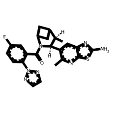 Cc1nc2sc(N)nc2cc1[C@@H]1[C@H](C)C2CC(C2)N1C(=O)c1cc(F)ccc1-n1nccn1